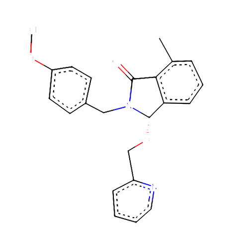 Cc1cccc2c1C(=O)N(Cc1ccc(OC(F)(F)F)cc1)[C@H]2OCc1ccccn1